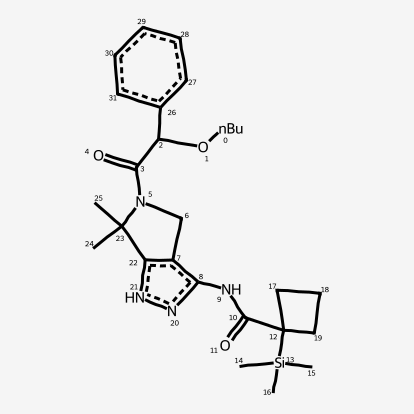 CCCCOC(C(=O)N1Cc2c(NC(=O)C3([Si](C)(C)C)CCC3)n[nH]c2C1(C)C)c1ccccc1